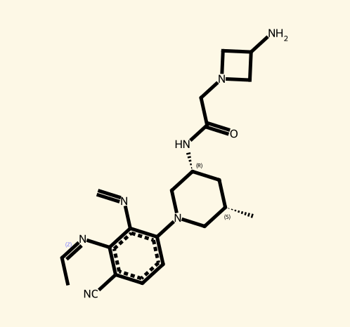 C=Nc1c(N2C[C@@H](C)C[C@@H](NC(=O)CN3CC(N)C3)C2)ccc(C#N)c1/N=C\C